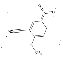 C#CC1=CC(=S(=O)=O)CC=C1OC